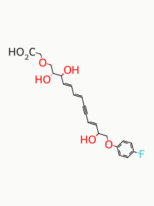 O=C(O)COC[C@@H](O)[C@@H](O)/C=C/C=C/C#C/C=C/[C@H](O)COc1ccc(F)cc1